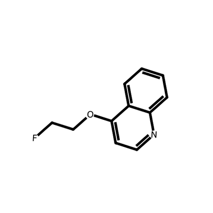 FCCOc1ccnc2ccccc12